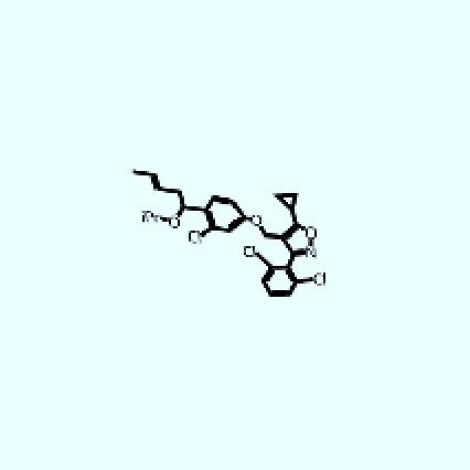 C/C=C/CC(OC(C)C)c1ccc(OCc2c(-c3c(Cl)cccc3Cl)noc2C2CC2)cc1Cl